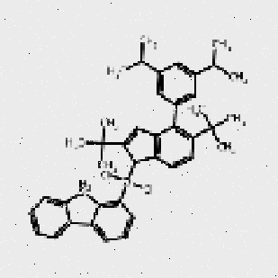 CC(C)c1cc(-c2c(C(C)(C)C)ccc3c2C=C(C(C)(C)C)[CH]3[Zr]([Cl])([Cl])[c]2cccc3c2[SiH2]c2ccccc2-3)cc(C(C)C)c1